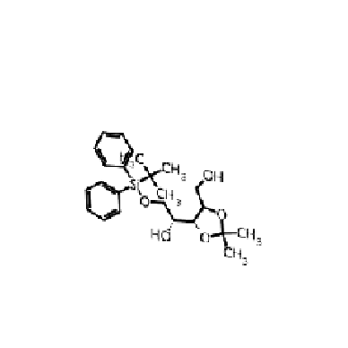 CC1(C)OC(CO)[C@@H]([C@H](O)CO[Si](c2ccccc2)(c2ccccc2)C(C)(C)C)O1